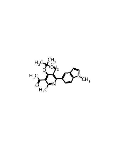 C=Cc1c(-c2ccc3c(ccn3C)c2)nc(C)c(C(C)=O)c1OC(C)(C)C